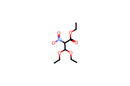 CCOC(=O)C(C(OCC)OCC)[N+](=O)[O-]